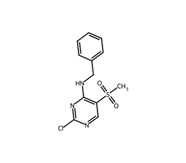 CS(=O)(=O)c1cnc(Cl)nc1NCc1ccccc1